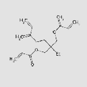 C=CC(=C)CCC(CC)(COC(=C)C=C)COC(=O)C=C